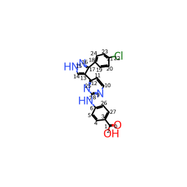 O=C(O)c1ccc(Nc2nccc(-c3c[nH]nc3-c3ccc(Cl)cc3)n2)cc1